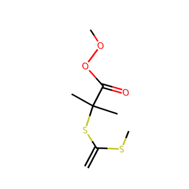 C=C(SC)SC(C)(C)C(=O)OOC